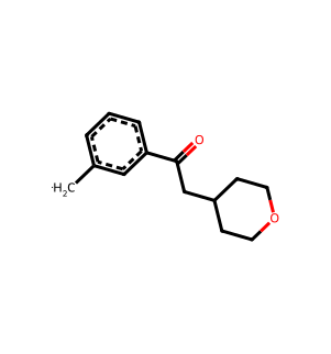 [CH2]c1cccc(C(=O)CC2CCOCC2)c1